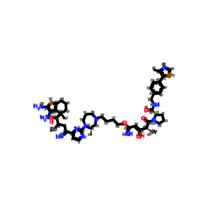 CCC(CC(=N)c1ccnc(N2CCCN(CCCCOC(=N)/C=C(\O)[C@H](C(=O)N3CCC[C@H]3C(=O)NCc3ccc(-c4scnc4C)cc3)C(C)C)C[C@@H]2C)n1)C(O)[C@@]1(C)CCCc2sc(N)c(N)c21